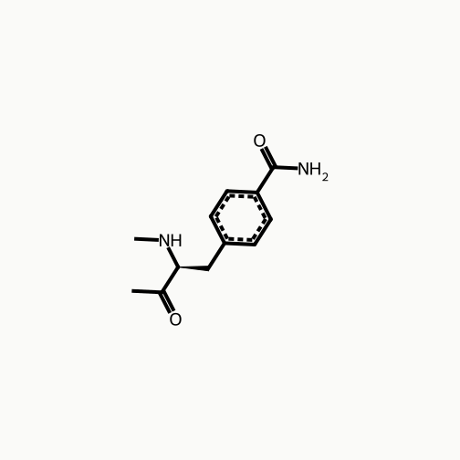 CN[C@@H](Cc1ccc(C(N)=O)cc1)C(C)=O